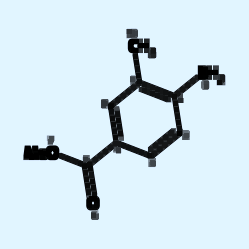 Bc1ccc(C(=O)OC)cc1C